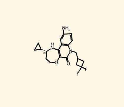 Nc1ccc2c(c1)c1c(c(=O)n2CC2CC(F)(F)C2)OCC[C@H](C2CC2)N1